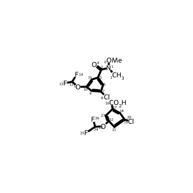 CON(C)C(=O)c1cc(Cl)cc(OC(F)F)c1.O=C(O)c1cc(Cl)cc(OC(F)F)c1